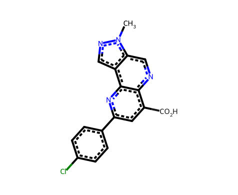 Cn1ncc2c3nc(-c4ccc(Cl)cc4)cc(C(=O)O)c3ncc21